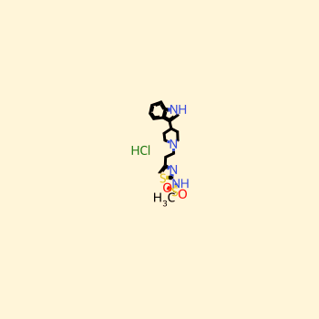 CS(=O)(=O)Nc1nc(CCN2CCC(c3c[nH]c4ccccc34)CC2)cs1.Cl